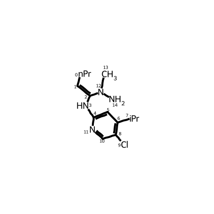 CCC/C=C(/Nc1cc(C(C)C)c(Cl)cn1)N(C)N